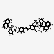 CC1CC(/C=C/c2ccc(NC(=O)[C@@H]3CCCN3C(=O)c3nccc4ccccc34)cc2)=CC=C1NC(=O)[C@@H]1CCCN1C(=O)c1nccc2ccccc12